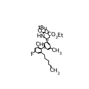 C=CCCCCc1cc(F)cc(C)c1-c1cc(C)cc([C@H](CC(=O)OCC)NC(=O)OC(C)(C)C)c1